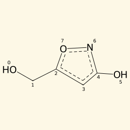 OCc1cc(O)no1